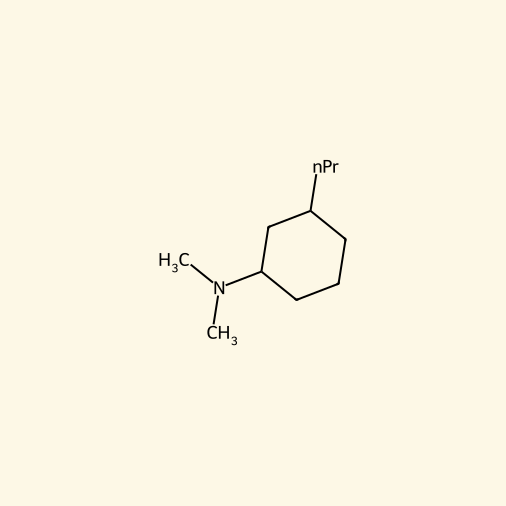 CCCC1CCCC(N(C)C)C1